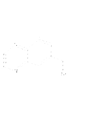 [C-]#[N+]Cc1ccc2nccnc2c1